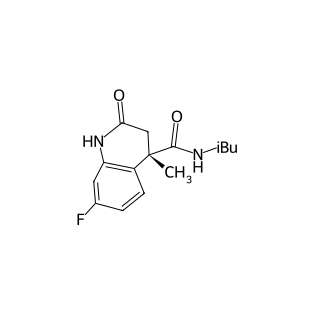 CCC(C)NC(=O)[C@@]1(C)CC(=O)Nc2cc(F)ccc21